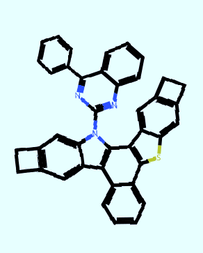 c1ccc(-c2nc(-n3c4cc5c(cc4c4c6ccccc6c6sc7cc8c(cc7c6c43)CC8)CC5)nc3ccccc23)cc1